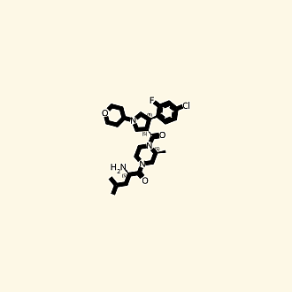 CC(C)C[C@H](N)C(=O)N1CCN(C(=O)[C@@H]2CN(C3CCOCC3)C[C@H]2c2ccc(Cl)cc2F)[C@@H](C)C1